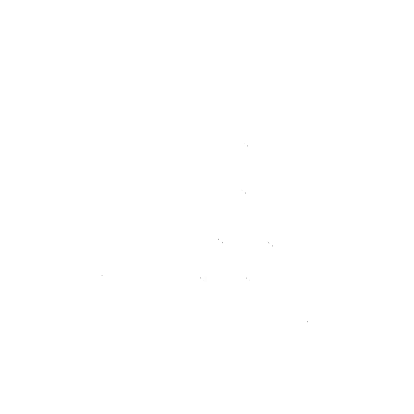 FC(F)(F)COc1nc(Nc2cccc(C(F)(F)F)c2)nc(N2CCN(Cc3ccccc3)CC2)n1